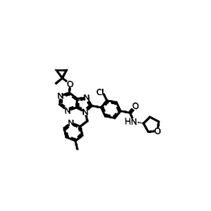 Cc1ccnc(Cn2c(-c3ccc(C(=O)N[C@@H]4CCOC4)cc3Cl)nc3c(OC4(C)CC4)ncnc32)c1